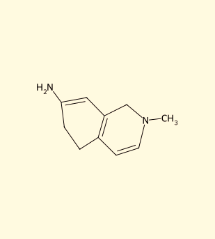 CN1C=CC2=C(C=C(N)CC2)C1